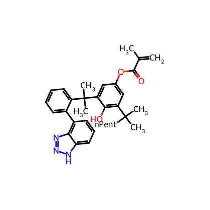 C=C(C)C(=O)Oc1cc(C(C)(C)CCCCC)c(O)c(C(C)(C)c2ccccc2-c2cccc3[nH]nnc23)c1